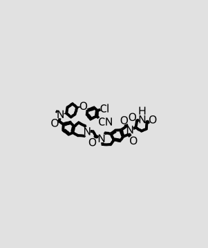 CN(C(=O)c1ccc2c(c1)CCN(CC(=O)N1CCc3cc4c(cc3C1)C(=O)N(C1CCC(=O)NC1=O)C4=O)CC2)[C@H]1CC[C@H](Oc2ccc(C#N)c(Cl)c2)CC1